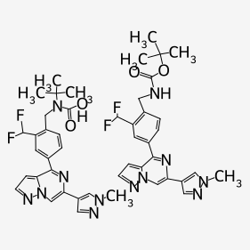 Cn1cc(-c2cn3nccc3c(-c3ccc(CN(C(=O)O)C(C)(C)C)c(C(F)F)c3)n2)cn1.Cn1cc(-c2cn3nccc3c(-c3ccc(CNC(=O)OC(C)(C)C)c(C(F)F)c3)n2)cn1